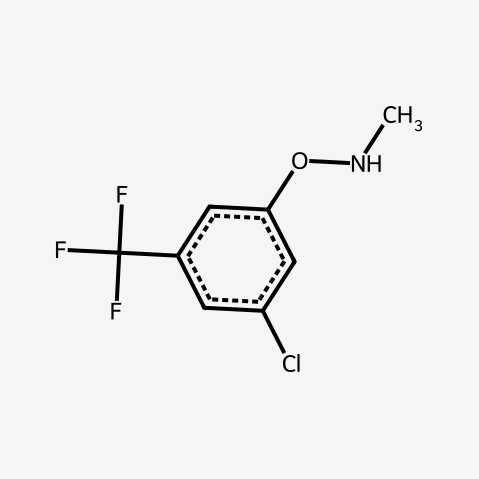 CNOc1cc(Cl)cc(C(F)(F)F)c1